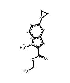 CCOC(=O)c1cc2cc(C3CC3)ccc2n1C